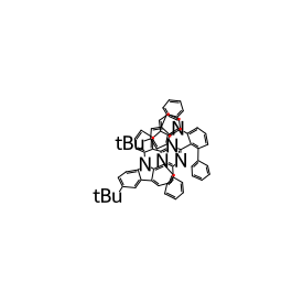 CC(C)(C)c1ccc2c(c1)c1ccccc1n2-c1cccc(-c2ccccc2)c1-c1nc(-c2ccccc2)nc(-c2c(-c3ccccc3)cccc2-n2c3ccccc3c3cc(C(C)(C)C)ccc32)n1